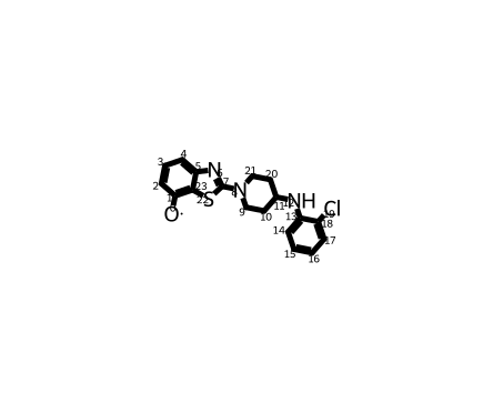 [O]c1cccc2nc(N3CCC(Nc4ccccc4Cl)CC3)sc12